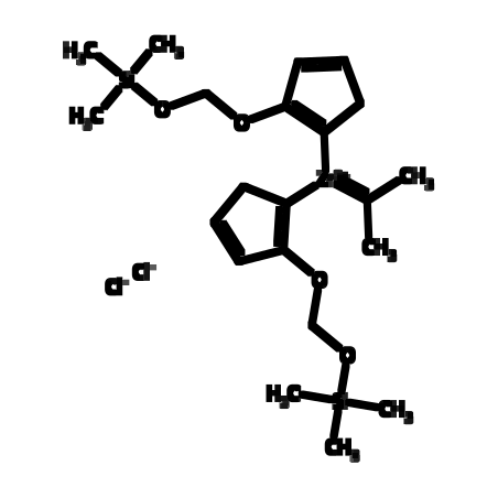 C[C](C)=[Zr+2]([C]1=C(OCO[Si](C)(C)C)C=CC1)[C]1=C(OCO[Si](C)(C)C)C=CC1.[Cl-].[Cl-]